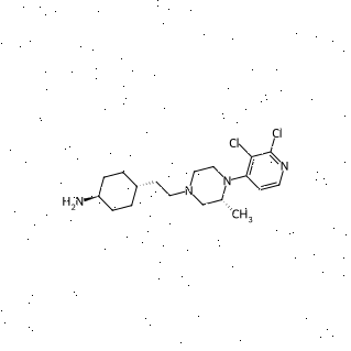 C[C@@H]1CN(CC[C@H]2CC[C@H](N)CC2)CCN1c1ccnc(Cl)c1Cl